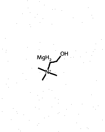 C[N+](C)(C)CCO.[MgH2]